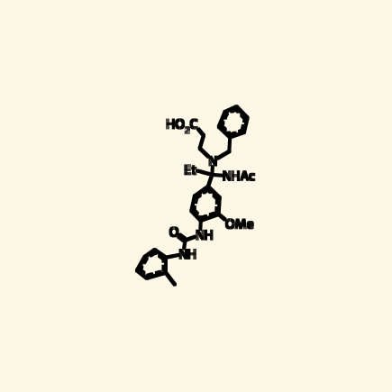 CCC(NC(C)=O)(c1ccc(NC(=O)Nc2ccccc2C)c(OC)c1)N(CCC(=O)O)Cc1ccccc1